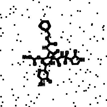 COC(=O)OCC1[C@H](NC(=O)OCc2ccccc2)C(=O)[N@+]1(NC(=O)C1=CC(=O)C(O)C=N1)C(=O)NS(=O)(=O)N1CCNC1=O